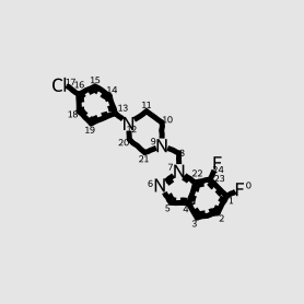 Fc1ccc2cnn(CN3CCN(c4ccc(Cl)cc4)CC3)c2c1F